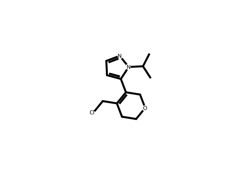 CC(C)n1nccc1C1=C(CCl)CCOC1